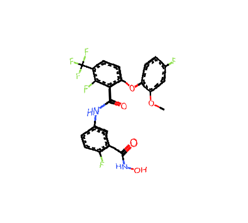 COc1cc(F)ccc1Oc1ccc(C(F)(F)F)c(F)c1C(=O)Nc1ccc(F)c(C(=O)NO)c1